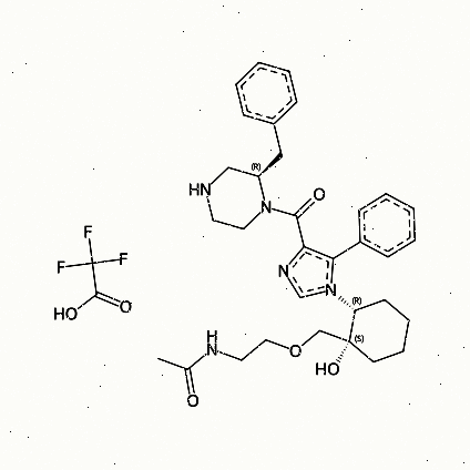 CC(=O)NCCOC[C@]1(O)CCCC[C@H]1n1cnc(C(=O)N2CCNC[C@H]2Cc2ccccc2)c1-c1ccccc1.O=C(O)C(F)(F)F